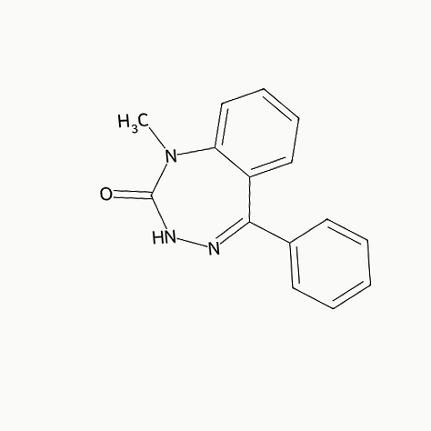 CN1C(=O)NN=C(c2ccccc2)c2ccccc21